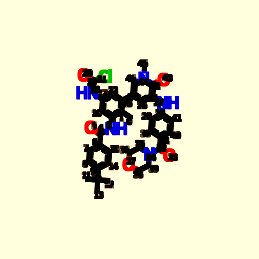 Cc1c(NC(=O)c2ccc(C(C)(C)C)cc2)cc(NC(=O)Cl)cc1-c1cc(Nc2ccc(C(=O)N3CCOCC3)cc2)c(=O)n(C)c1